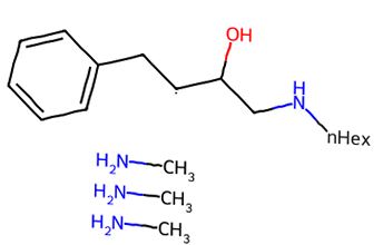 CCCCCCNCC(O)[CH]Cc1ccccc1.CN.CN.CN